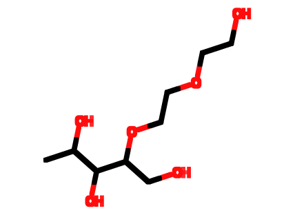 CC(O)C(O)C(CO)OCCOCCO